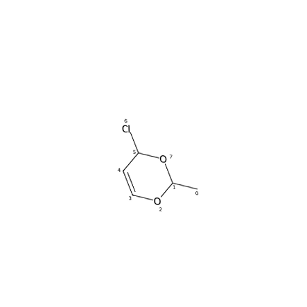 CC1OC=CC(Cl)O1